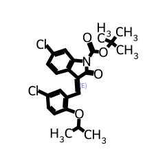 CC(C)Oc1ccc(Cl)cc1/C=C1/C(=O)N(C(=O)OC(C)(C)C)c2cc(Cl)ccc21